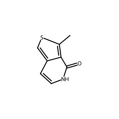 Cc1scc2cc[nH]c(=O)c12